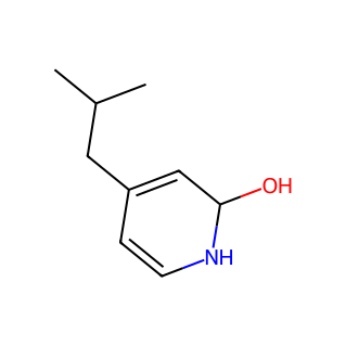 CC(C)CC1=CC(O)NC=C1